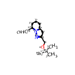 CC(C)(C)[Si](C)(C)OCc1cc2cccc(C=O)n2n1